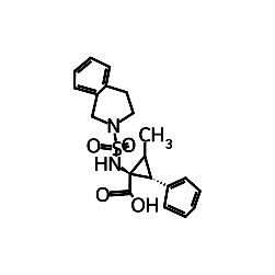 CC1[C@H](c2ccccc2)[C@]1(NS(=O)(=O)N1CCc2ccccc2C1)C(=O)O